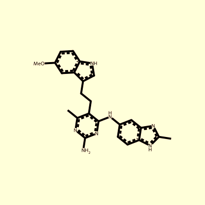 COc1ccc2[nH]cc(CCc3c(C)nc(N)nc3Nc3ccc4[nH]c(C)nc4c3)c2c1